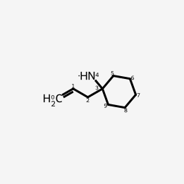 C=CCC1([NH])CCCCC1